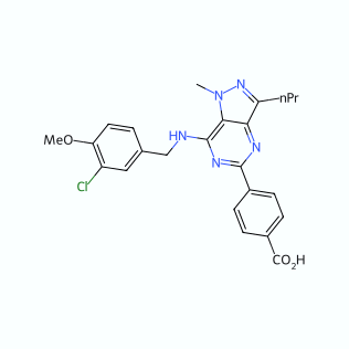 CCCc1nn(C)c2c(NCc3ccc(OC)c(Cl)c3)nc(-c3ccc(C(=O)O)cc3)nc12